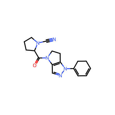 N#CN1CCCC1C(=O)N1CCc2c1cnn2C1=CC=CCC1